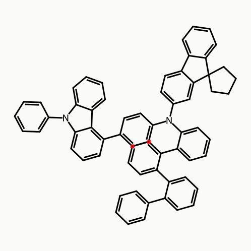 c1ccc(-c2ccccc2-c2ccccc2-c2ccccc2N(c2ccc(-c3cccc4c3c3ccccc3n4-c3ccccc3)cc2)c2ccc3c(c2)C2(CCCC2)c2ccccc2-3)cc1